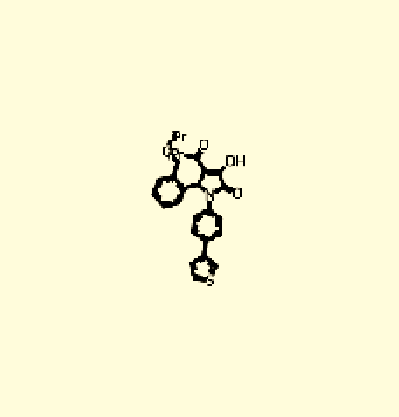 CC(C)OCc1ccccc1C1C(C(=O)C(C)C)=C(O)C(=O)N1c1ccc(-c2ccsc2)cc1